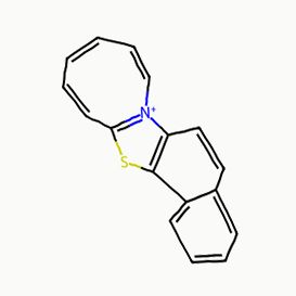 C1=CC=C[n+]2c(sc3c4ccccc4ccc32)C=C1